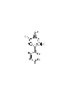 CC(OC(O)c1ccccc1)N(C)C